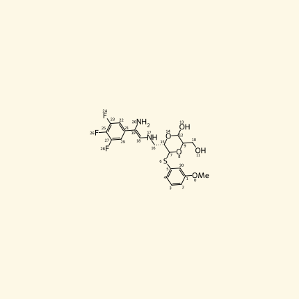 COc1cccc(SC2OC(CO)C(O)O[C@H]2CN/C=C(\N)c2cc(F)c(F)c(F)c2)c1